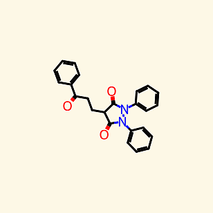 O=C(CCC1C(=O)N(c2ccccc2)N(c2ccccc2)C1=O)c1ccccc1